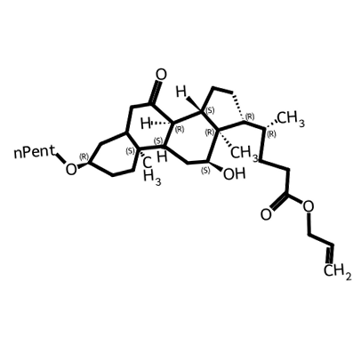 C=CCOC(=O)CC[C@@H](C)[C@H]1CC[C@H]2[C@@H]3C(=O)CC4C[C@H](OCCCCC)CC[C@]4(C)[C@H]3C[C@H](O)[C@]12C